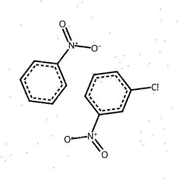 O=[N+]([O-])c1cccc(Cl)c1.O=[N+]([O-])c1ccccc1